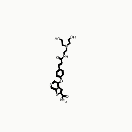 NC(=O)c1cc2c(Oc3ccc(/C=C/C(=O)NCCN(CCO)CCO)cc3)cncc2s1